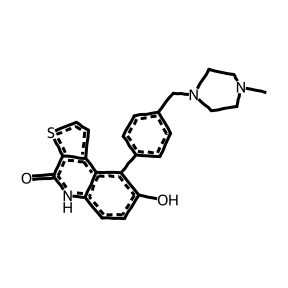 CN1CCN(Cc2ccc(-c3c(O)ccc4[nH]c(=O)c5sccc5c34)cc2)CC1